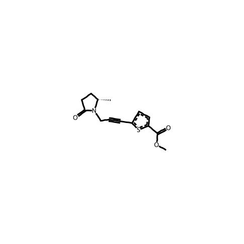 COC(=O)c1ccc(C#CCN2C(=O)CC[C@@H]2C)s1